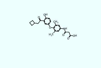 Cc1cc(NC(=O)CC(=O)O)cc(C)c1Oc1ccc(O)c(C(=O)CC2CCC2)c1